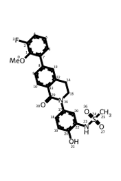 COc1c(F)cccc1-c1ccc2c(c1)CCN(c1ccc(O)c(NS(C)(=O)=O)c1)C2=O